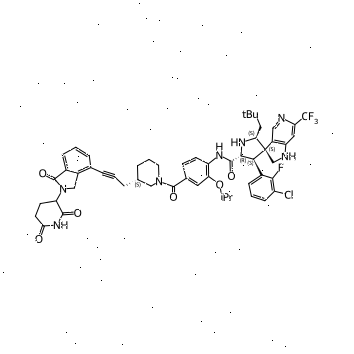 CC(C)Oc1cc(C(=O)N2CCC[C@@H](CC#Cc3cccc4c3CN(C3CCC(=O)NC3=O)C4=O)C2)ccc1NC(=O)[C@@H]1N[C@@H](CC(C)(C)C)[C@@]2(CNc3cc(C(F)(F)F)ncc32)[C@H]1c1cccc(Cl)c1F